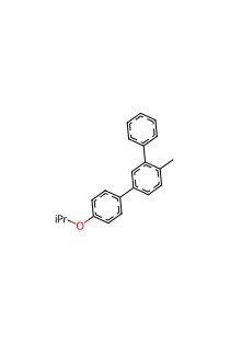 Cc1ccc(-c2ccc(OC(C)C)cc2)cc1-c1ccccc1